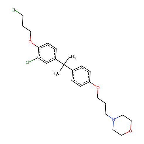 CC(C)(c1ccc(OCCCN2CCOCC2)cc1)c1ccc(OCCCCl)c(Cl)c1